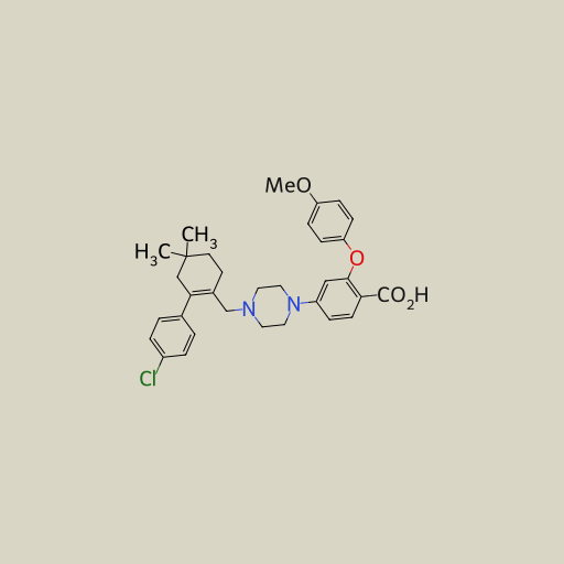 COc1ccc(Oc2cc(N3CCN(CC4=C(c5ccc(Cl)cc5)CC(C)(C)CC4)CC3)ccc2C(=O)O)cc1